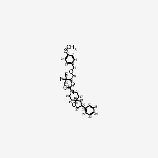 COc1ccc(COC[C@@H](OC(=O)N2CCC3(CC2)CC(c2ccccc2)CO3)C(F)(F)F)cc1